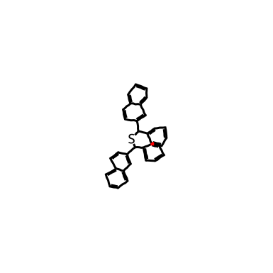 c1ccc(C(SC(c2ccccc2)c2ccc3ccccc3c2)c2ccc3ccccc3c2)cc1